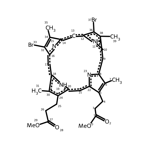 COC(=O)CCC1=C(C)c2cc3[nH]c(cc4nc(cc5[nH]c(cc1n2)c(CCC(=O)OC)c5C)C(Br)=C4C)c(Br)c3C